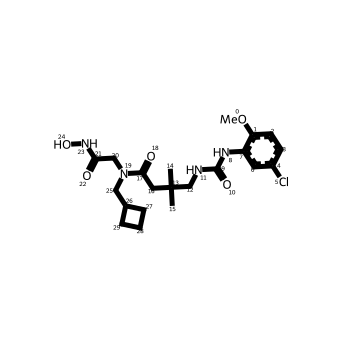 COc1ccc(Cl)cc1NC(=O)NCC(C)(C)CC(=O)N(CC(=O)NO)CC1CCC1